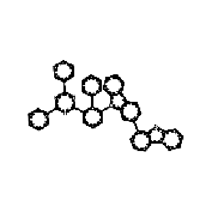 c1ccc(-c2nc(-c3ccccc3)nc(-c3cccc(-n4c5ccccc5c5ccc(-c6cccc7c6oc6ccccc67)cc54)c3-c3ccccc3)n2)cc1